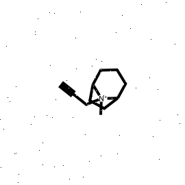 C#CC[N+]1(C)C2CCCC1CC2